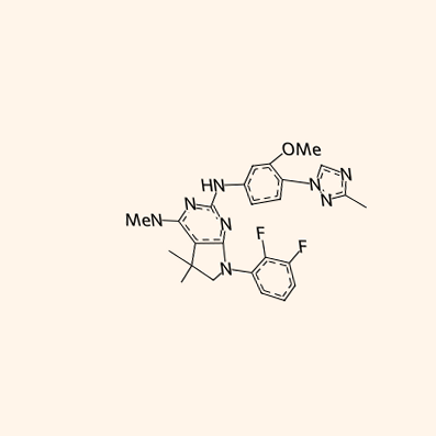 CNc1nc(Nc2ccc(-n3cnc(C)n3)c(OC)c2)nc2c1C(C)(C)CN2c1cccc(F)c1F